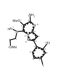 CCCN(CCOC)c1c(OC)c(N)nc2cc(-c3ccc(C)cc3CC)nn12